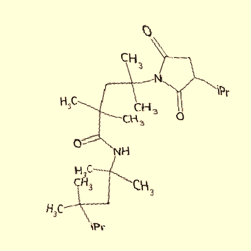 CC(C)C1CC(=O)N(C(C)(C)CC(C)(C)C(=O)NC(C)(C)CC(C)(C)C(C)C)C1=O